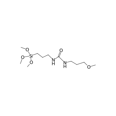 COCCCNC(=O)NCCC[Si](OC)(OC)OC